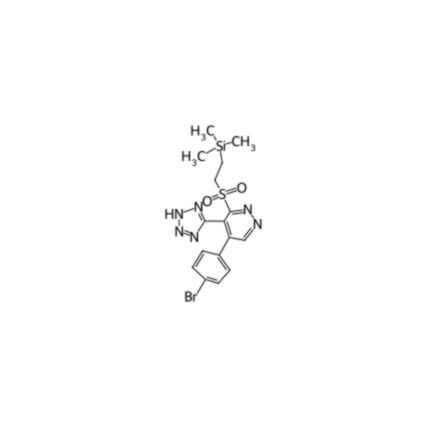 C[Si](C)(C)CCS(=O)(=O)c1nncc(-c2ccc(Br)cc2)c1-c1nn[nH]n1